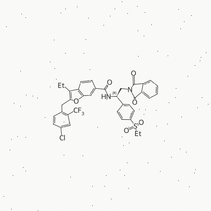 CCc1c(Cc2ccc(Cl)cc2C(F)(F)F)oc2cc(C(=O)N[C@@H](CN3C(=O)c4ccccc4C3=O)c3ccc(S(=O)(=O)CC)cc3)ccc12